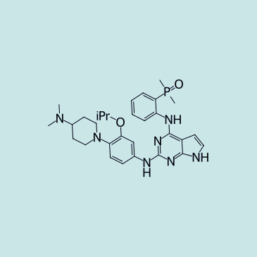 CC(C)Oc1cc(Nc2nc(Nc3ccccc3P(C)(C)=O)c3cc[nH]c3n2)ccc1N1CCC(N(C)C)CC1